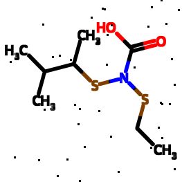 CCSN(SC(C)C(C)C)C(=O)O